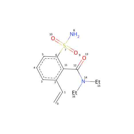 C=Cc1cccc(S(N)(=O)=O)c1C(=O)N(CC)CC